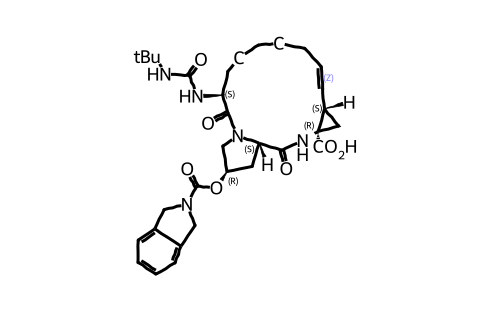 CC(C)(C)NC(=O)N[C@H]1CCCCC/C=C\[C@@H]2C[C@@]2(C(=O)O)NC(=O)[C@@H]2C[C@@H](OC(=O)N3Cc4ccccc4C3)CN2C1=O